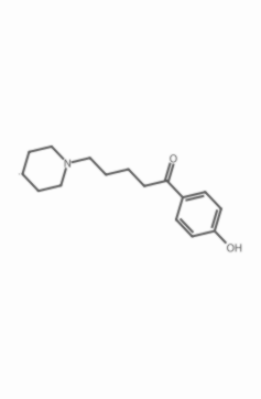 O=C(CCCCN1CC[CH]CC1)c1ccc(O)cc1